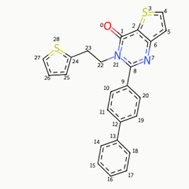 O=c1c2sccc2nc(-c2ccc(-c3ccccc3)cc2)n1CCc1cccs1